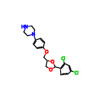 Clc1ccc(C2OCC(COc3ccc(N4CCNCC4)cc3)O2)c(Cl)c1